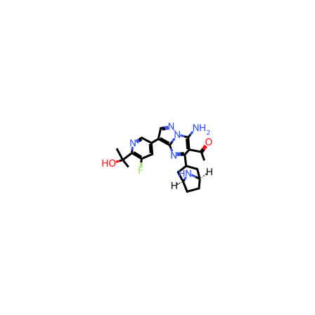 CC(=O)c1c(C2C[C@H]3CC[C@@H](C2)N3)nc2c(-c3cnc(C(C)(C)O)c(F)c3)cnn2c1N